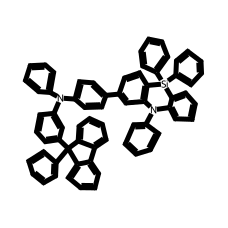 c1ccc(N(c2ccc(-c3ccc4c(c3)N(c3ccccc3)c3ccccc3[Si]4(c3ccccc3)c3ccccc3)cc2)c2cccc(C3(c4ccccc4)c4ccccc4-c4ccccc43)c2)cc1